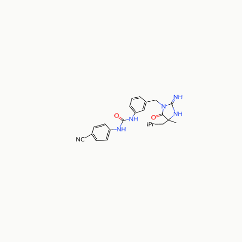 CC(C)CC1(C)NC(=N)N(Cc2cccc(NC(=O)Nc3ccc(C#N)cc3)c2)C1=O